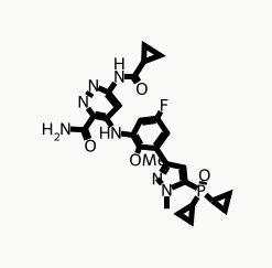 COc1c(Nc2cc(NC(=O)C3CC3)nnc2C(N)=O)cc(F)cc1-c1cc(P(=O)(C2CC2)C2CC2)n(C)n1